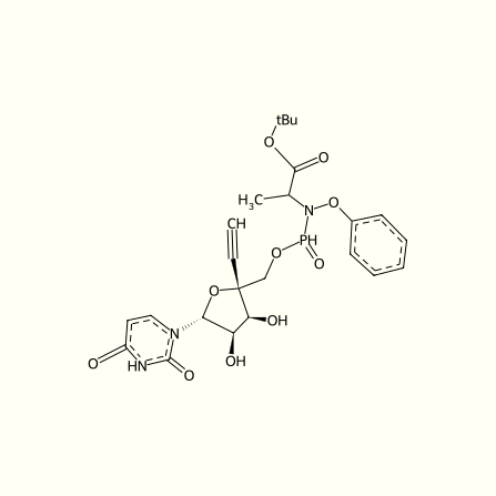 C#C[C@]1(CO[PH](=O)N(Oc2ccccc2)C(C)C(=O)OC(C)(C)C)O[C@@H](n2ccc(=O)[nH]c2=O)[C@H](O)[C@@H]1O